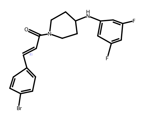 O=C(/C=C/c1ccc(Br)cc1)N1CCC(Nc2cc(F)cc(F)c2)CC1